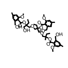 CCC(C)(COCC(CC)(COCC(CC)(CO)OC(=O)c1c(CO)cc(C)cc1OC)OC(=O)c1c(CO)cc(C)cc1OC)OC(=O)c1c(CO)cc(C)cc1OC